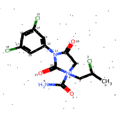 CC(Cl)C[N+]1(C(N)=O)CC(=O)N(c2cc(Cl)cc(Cl)c2)C1=O